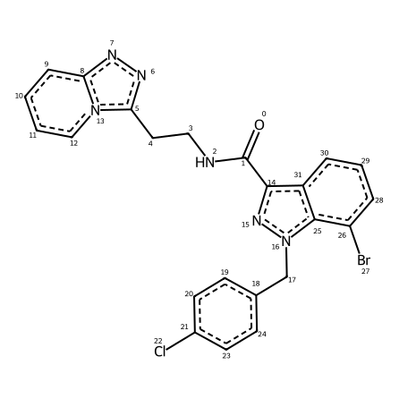 O=C(NCCc1nnc2ccccn12)c1nn(Cc2ccc(Cl)cc2)c2c(Br)cccc12